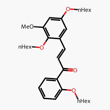 CCCCCCOc1cc(C=CC(=O)c2ccccc2OCCCCCC)c(OCCCCCC)c(OC)c1